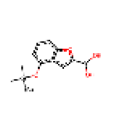 CC(C)(C)[Si](C)(C)Oc1cccc2oc(B(O)O)cc12